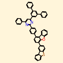 c1ccc(-c2cc(-c3ccccc3)cc(-c3cc(-c4ccccc4)nc(-c4ccc(-c5ccc(-c6ccc7sc8ccccc8c7c6)c6oc7ccccc7c56)cc4)n3)c2)cc1